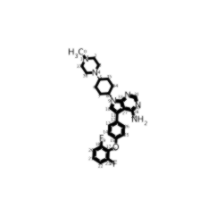 CN1CCN([C@H]2CC[C@H](n3cc(-c4ccc(Oc5c(F)cccc5F)cc4)c4c(N)ncnc43)CC2)CC1